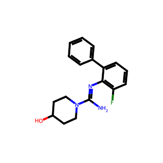 NC(=Nc1c(F)cccc1-c1ccccc1)N1CCC(O)CC1